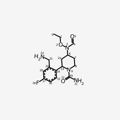 CCON(C=O)C1CCN(C(N)=O)C(c2ccc(F)cc2CN)C1